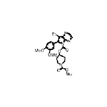 CCc1c(-c2ccc(OC)c(OC)c2)n(C(=O)OC2CCN(C(=O)OC(C)(C)C)CC2)c2nccnc12